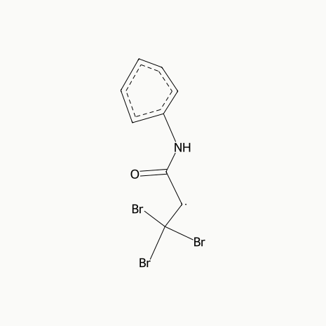 O=C([CH]C(Br)(Br)Br)Nc1ccccc1